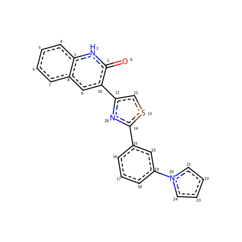 O=c1[nH]c2ccccc2cc1-c1csc(-c2cccc(-n3cccc3)c2)n1